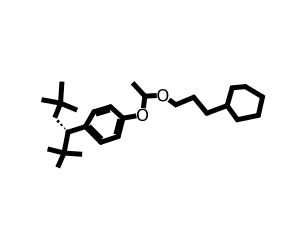 CC(OCCCC1CCCCC1)Oc1ccc([C@@H](CC(C)(C)C)C(C)(C)C)cc1